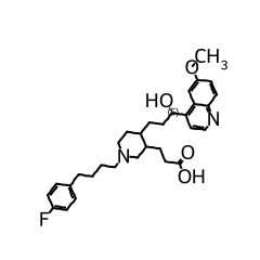 COc1ccc2nccc([C@@H](O)CCC3CCN(CCCCc4ccc(F)cc4)CC3CCC(=O)O)c2c1